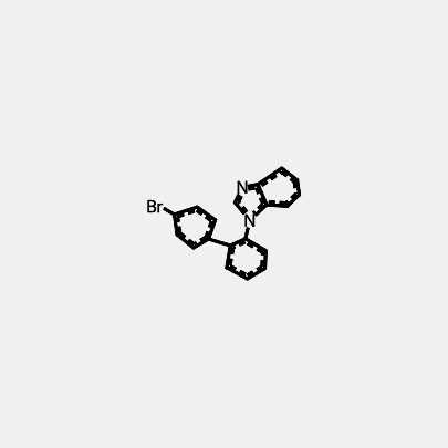 Brc1ccc(-c2ccccc2-n2cnc3ccccc32)cc1